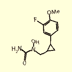 COc1ccc(C2CC2CN(O)C(N)=O)cc1F